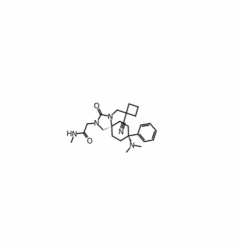 CNC(=O)CN1C[C@]2(CC[C@](c3ccccc3)(N(C)C)CC2)N(CC2(C#N)CCC2)C1=O